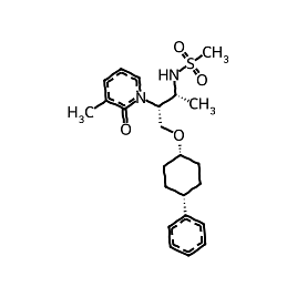 Cc1cccn([C@@H](CO[C@H]2CC[C@@H](c3ccccc3)CC2)[C@@H](C)NS(C)(=O)=O)c1=O